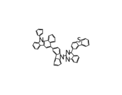 c1ccc(-n2c3ccccc3c3cc(-c4ccc5c(c4)c4ccccc4n5-c4nc(-c5ccc6sc7ccccc7c6c5)c5ccccc5n4)c4ccccc4c32)cc1